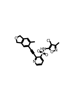 Cc1cc2c(cc1C#Cc1ncccc1S(=O)(=O)Nc1onc(C)c1Cl)COC2